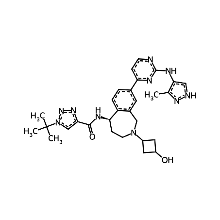 Cc1n[nH]cc1Nc1nccc(-c2ccc3c(c2)CN(C2CC(O)C2)CC[C@H]3NC(=O)c2cn(C(C)(C)C)nn2)n1